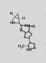 Cc1[nH]ncc1-c1cc2nc([C@H]3NC[C@H]4C[C@H]43)[nH]c(=O)c2s1